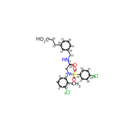 Cc1c(Cl)cccc1N(CC(=O)NCc1cccc(CCC(=O)O)c1)S(=O)(=O)c1ccc(Cl)cc1